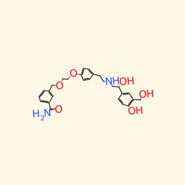 NC(=O)c1cccc(COCCOc2ccc(CCNC[C@H](O)c3ccc(O)c(CO)c3)cc2)c1